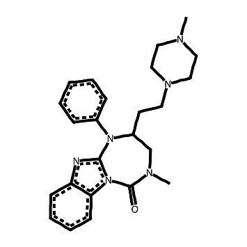 CN1CCN(CCC2CN(C)C(=O)n3c(nc4ccccc43)N2c2ccccc2)CC1